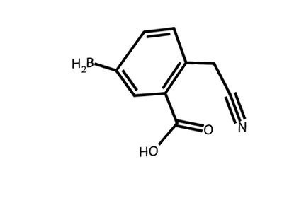 Bc1ccc(CC#N)c(C(=O)O)c1